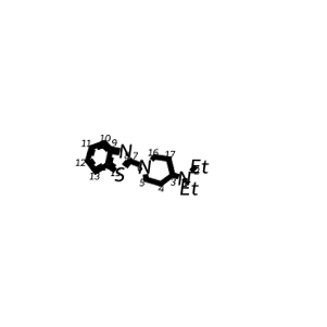 CCN(CC)C1CCN(c2nc3ccccc3s2)CC1